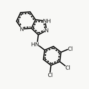 Clc1cc(Nc2n[nH]c3cccnc23)cc(Cl)c1Cl